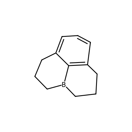 c1cc2c3c(c1)CCCB3CCC2